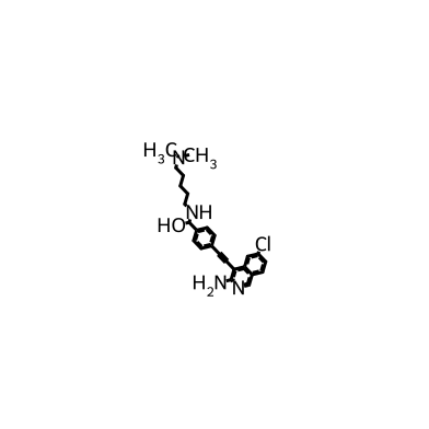 CN(C)CCCCCNC(O)c1ccc(C#Cc2c(N)ncc3ccc(Cl)cc23)cc1